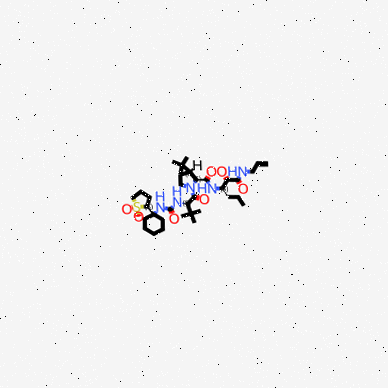 C=CCNC(=O)C(=O)[C@H](CCC)NC(=O)[C@@H]1[C@@H]2C(CN1C(=O)[C@@H](NC(=O)NC1([C@@H]3CCCS3(=O)=O)CCCCC1)C(C)(C)C)C2(C)C